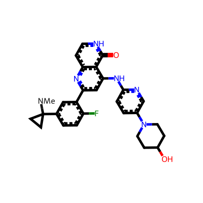 CNC1(c2ccc(F)c(-c3cc(Nc4ccc(N5CCC(O)CC5)cn4)c4c(=O)[nH]ccc4n3)c2)CC1